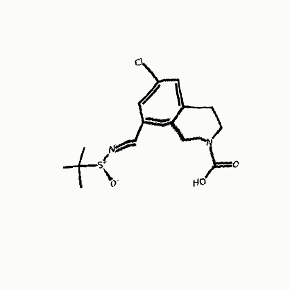 CC(C)(C)[S@+]([O-])N=Cc1cc(Cl)cc2c1CN(C(=O)O)CC2